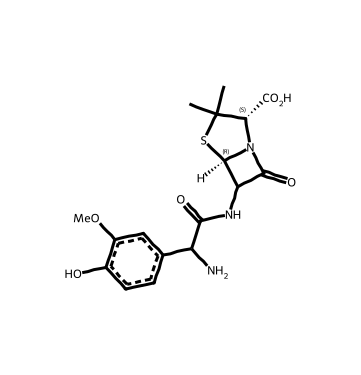 COc1cc(C(N)C(=O)NC2C(=O)N3[C@@H]2SC(C)(C)[C@@H]3C(=O)O)ccc1O